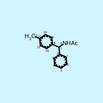 CC(=O)NC(c1ccccc1)c1ccc(C)cc1